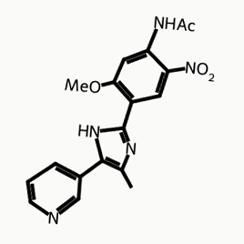 COc1cc(NC(C)=O)c([N+](=O)[O-])cc1-c1nc(C)c(-c2cccnc2)[nH]1